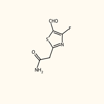 NC(=O)Cc1nc(F)c(C=O)s1